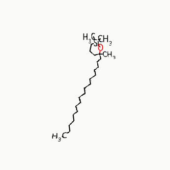 CCCCCCCCCCCCCCCCCCC1(C)CCC[Si](C)(C)O1